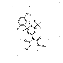 CC(C)(C)OC(=O)N(C(=O)OC(C)(C)C)C1=N[C@](C)(c2cc(N)ccc2F)[C@@H](F)[C@@H](C(C)(F)F)O1